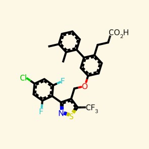 Cc1cccc(-c2cc(OCc3c(-c4c(F)cc(Cl)cc4F)nsc3C(F)(F)F)ccc2CCC(=O)O)c1C